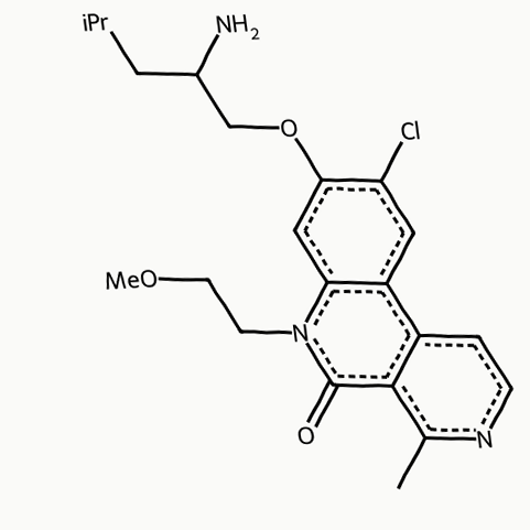 COCCn1c(=O)c2c(C)nccc2c2cc(Cl)c(OCC(N)CC(C)C)cc21